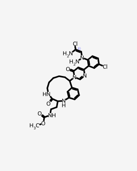 COC(=O)NCCC1Nc2cccc(c2)C(n2cnc(-c3cc(Cl)ccc3N(N)/C=C(\N)Cl)cc2=O)CCCCCNC1=O